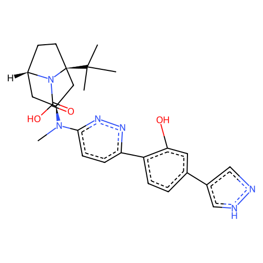 CN(c1ccc(-c2ccc(-c3cn[nH]c3)cc2O)nn1)[C@H]1C[C@@H]2CC[C@](C(C)(C)C)(C1)N2C(=O)O